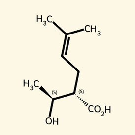 CC(C)=CC[C@H](C(=O)O)[C@H](C)O